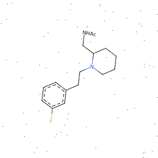 CC(=O)N[CH]C1CCCCN1CCc1cccc(F)c1